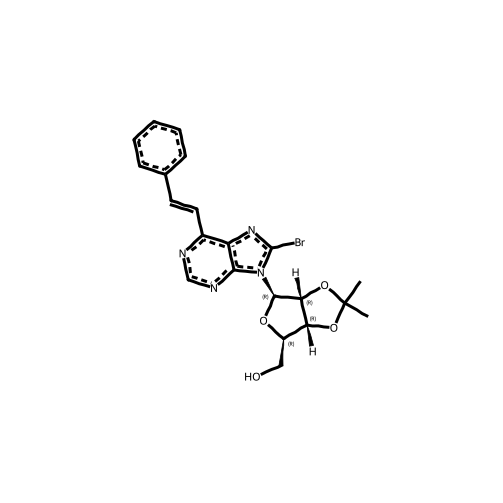 CC1(C)O[C@@H]2[C@H](O1)[C@@H](CO)O[C@H]2n1c(Br)nc2c(C=Cc3ccccc3)ncnc21